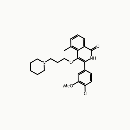 COc1cc(-c2[nH]c(=O)c3cccc(C)c3c2OCCCN2CCCCC2)ccc1Cl